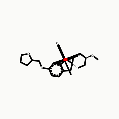 CO[C@H]1CC[C@]2(CC1)Cc1ccc(OCC3CCCO3)cc1C21NC(=O)NC1=O